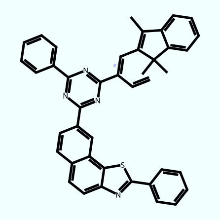 C=C/C(=C\C1=C(C)c2ccccc2C1(C)C)c1nc(-c2ccccc2)nc(-c2ccc3ccc4nc(-c5ccccc5)sc4c3c2)n1